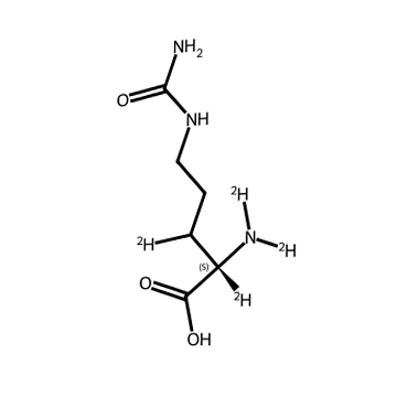 [2H]C(CCNC(N)=O)[C@@]([2H])(C(=O)O)N([2H])[2H]